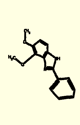 COc1ccc2[nH]c(-c3ccccc3)nc2c1OC